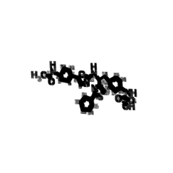 CC(=O)Nc1ccc(-c2cnc(N[C@@H](Cc3ccc(NS(=O)(=O)O)cc3)c3csc(-c4ccccc4)n3)o2)cc1